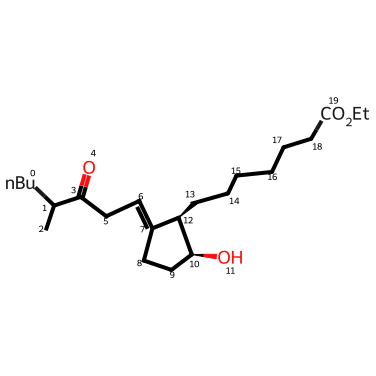 CCCCC(C)C(=O)CC=C1CC[C@H](O)[C@@H]1CCCCCCC(=O)OCC